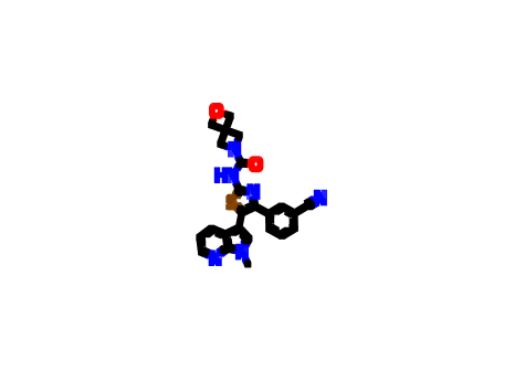 Cn1cc(-c2sc(NC(=O)N3CC4(COC4)C3)nc2-c2cccc(C#N)c2)c2cccnc21